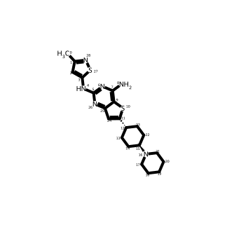 Cc1cc(Nc2nc(N)c3sc([C@H]4CC[C@H](N5CCCCC5)CC4)cc3n2)sn1